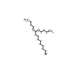 CCCCOC(CCCCCCCCBr)OCCCC